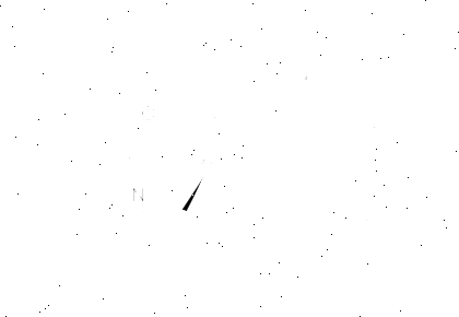 C=CN(C[C@H]1CC1C1CCC(C)=CC1C)C(=O)C1CC1